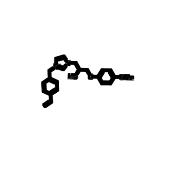 C=Cc1ccc(C[n+]2ccn(CC(O)COc3ccc(OC)cc3)c2)cc1